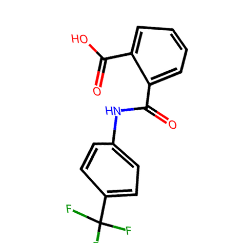 O=C(O)c1ccccc1C(=O)Nc1ccc(C(F)(F)F)cc1